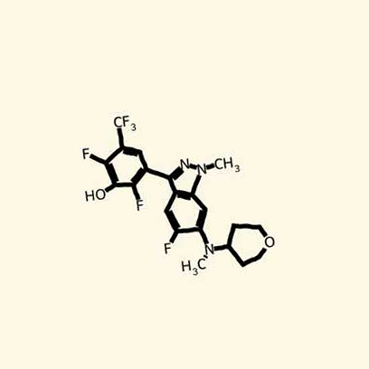 CN(c1cc2c(cc1F)c(-c1cc(C(F)(F)F)c(F)c(O)c1F)nn2C)C1CCOCC1